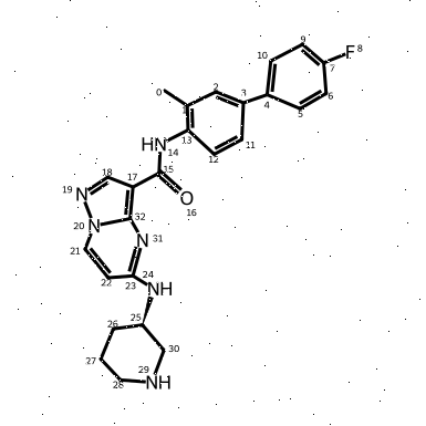 Cc1cc(-c2ccc(F)cc2)ccc1NC(=O)c1cnn2ccc(N[C@@H]3CCCNC3)nc12